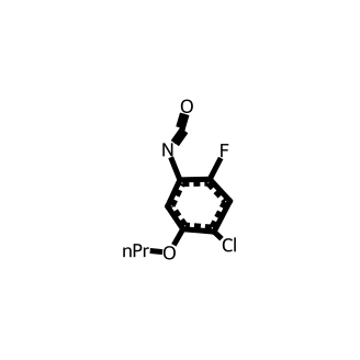 CCCOc1cc(N=C=O)c(F)cc1Cl